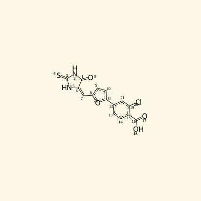 O=C1NC(=S)NC1=Cc1ccc(-c2ccc(C(=O)O)c(Cl)c2)o1